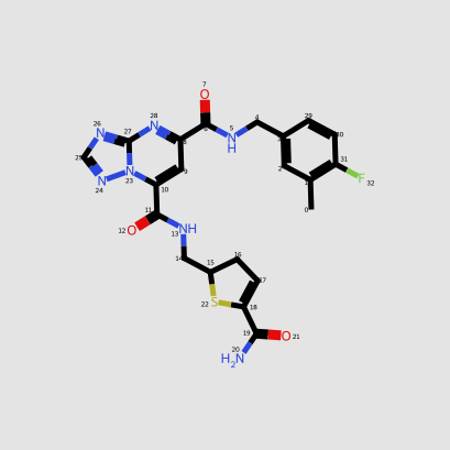 Cc1cc(CNC(=O)c2cc(C(=O)NCC3CC=C(C(N)=O)S3)n3ncnc3n2)ccc1F